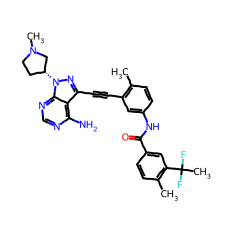 Cc1ccc(NC(=O)c2ccc(C)c(C(C)(F)F)c2)cc1C#Cc1nn([C@@H]2CCN(C)C2)c2ncnc(N)c12